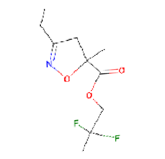 CCC1=NOC(C)(C(=O)OCC(C)(F)F)C1